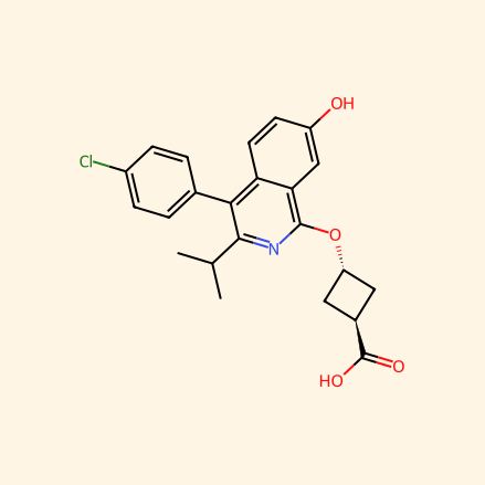 CC(C)c1nc(O[C@H]2C[C@H](C(=O)O)C2)c2cc(O)ccc2c1-c1ccc(Cl)cc1